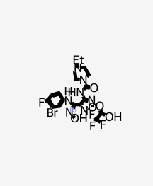 CCN1CCN(C(=O)Nc2nonc2/C(=N\O)Nc2ccc(F)c(Br)c2)CC1.O=C(O)C(F)(F)F